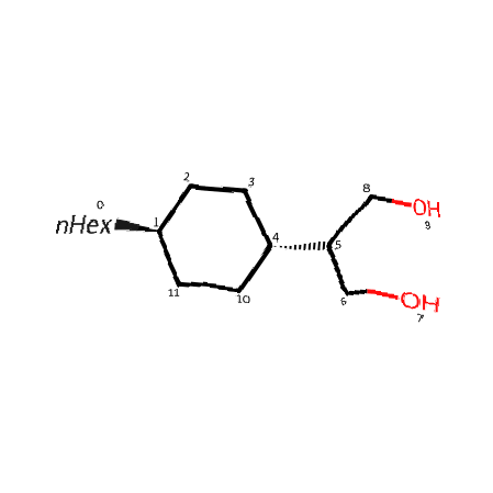 CCCCCC[C@H]1CC[C@H](C(CO)CO)CC1